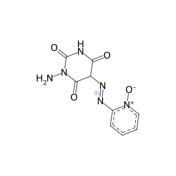 NN1C(=O)NC(=O)C(/N=N/c2cccc[n+]2[O-])C1=O